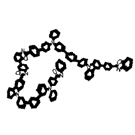 c1ccc(N(c2ccc(-c3ccc(-c4ccc(-n5c6ccccc6c6cc(-c7ccc(-c8nc9ccccc9o8)cc7)ccc65)cc4)cc3)cc2)c2ccc(-c3ccc(-c4nc5cccc(-c6ccc7nc(-c8ccc9c(c8)c8ccccc8n9-c8cccc(-c9cccc(-c%10cccc(N(c%11ccccc%11)c%11ccc(-c%12nc%13ccccc%13o%12)cc%11)c%10)c9)c8)oc7c6)c5o4)cc3)cc2)cc1